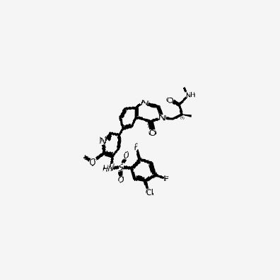 CNC(=O)[C@@H](C)Cn1cnc2ccc(-c3cnc(OC)c(NS(=O)(=O)c4cc(Cl)c(F)cc4F)c3)cc2c1=O